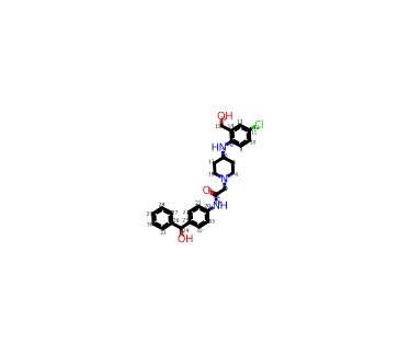 O=C(CN1CCC(Nc2ccc(Cl)cc2CO)CC1)Nc1ccc(C(O)c2ccccc2)cc1